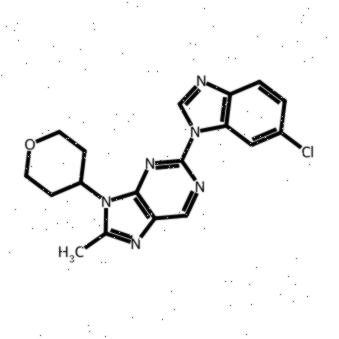 Cc1nc2cnc(-n3cnc4ccc(Cl)cc43)nc2n1C1CCOCC1